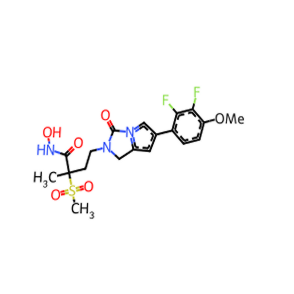 COc1ccc(-c2cc3n(c2)C(=O)N(CCC(C)(C(=O)NO)S(C)(=O)=O)C3)c(F)c1F